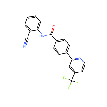 N#Cc1ccccc1NC(=O)c1ccc(-c2cc(C(F)(F)F)ccn2)cc1